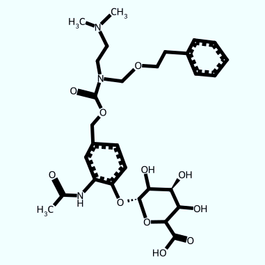 CC(=O)Nc1cc(COC(=O)N(CCN(C)C)COCCc2ccccc2)ccc1O[C@H]1OC(C(=O)O)C(O)[C@H](O)C1O